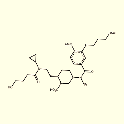 COCCCOc1cc(C(=O)N(C(C)C)[C@@H]2CC[C@H](CCN(C(=O)CCCO)C3CC3)N(C(=O)O)C2)ccc1OC